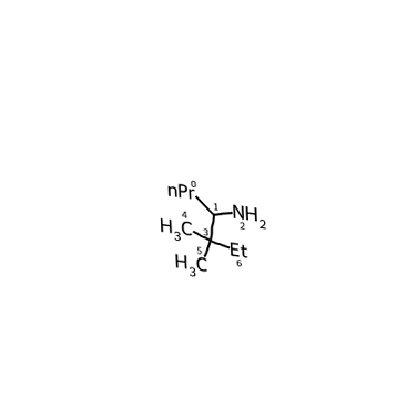 CCCC(N)C(C)(C)CC